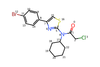 O=C(CCl)N(c1nc(-c2ccc(Br)cc2)cs1)C1CCCCC1